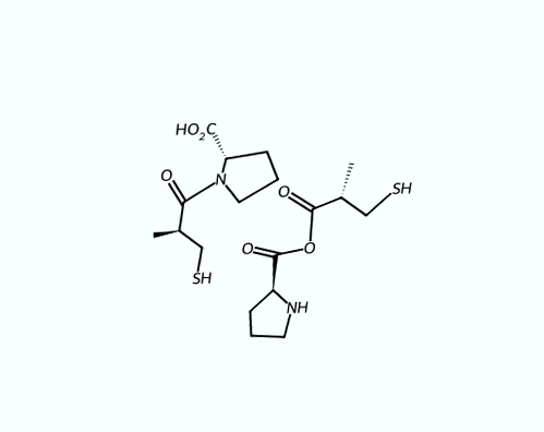 C[C@H](CS)C(=O)N1CCC[C@H]1C(=O)O.C[C@H](CS)C(=O)OC(=O)[C@@H]1CCCN1